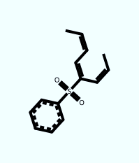 C\C=C/C=C(\C=C/C)S(=O)(=O)c1ccccc1